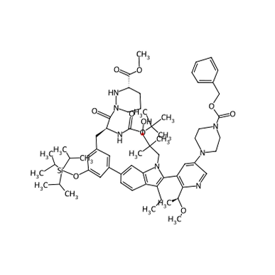 CCc1c(-c2cc(N3CCN(C(=O)OCc4ccccc4)CC3)cnc2[C@H](C)OC)n(CC(C)(C)CO)c2cc(-c3cc(C[C@H](NC(=O)OC(C)(C)C)C(=O)N4CCC[C@@H](C(=O)OC)N4)cc(O[Si](C(C)C)(C(C)C)C(C)C)c3)ccc12